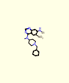 CCNc1cc2ncnc(N(C)C3CCN(Cc4ccccc4)CC3)c2cc1[N+](=O)[O-]